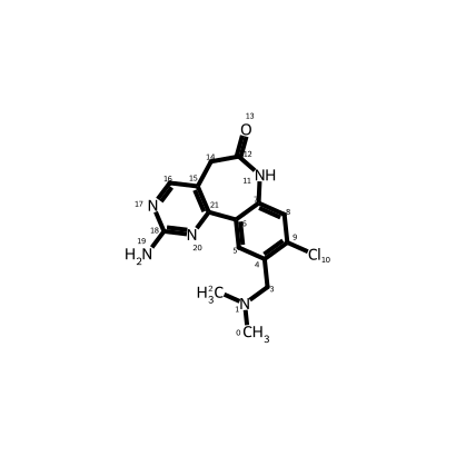 CN(C)Cc1cc2c(cc1Cl)NC(=O)Cc1cnc(N)nc1-2